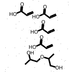 C=CC(=O)O.C=CC(=O)O.C=CC(=O)O.C=CC(=O)O.CC(O)COC(C)CO